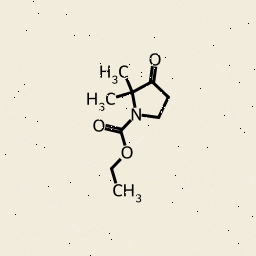 CCOC(=O)N1CCC(=O)C1(C)C